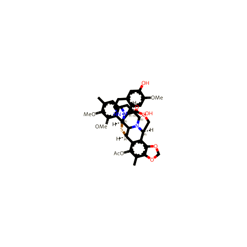 COc1cc2c(cc1O)CCN[C@]21CS[C@@H]2c3c(OC(C)=O)c(C)c4c(c3[C@H](COC1=O)N1C2[C@H]2c3c(cc(C)c(OC)c3OC)C[C@@H]([C@@H]1O)N2C)OCO4